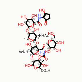 CC(=O)N[C@H]1[C@H](O[C@H]2[C@H](O)[C@@H](NC(C)=O)[C@H](O[C@H]3C(O)O[C@H](C(=O)O)[C@@](C)(O)[C@@H]3OC(N)=O)O[C@@H]2CO[C@@H]2O[C@H](CO)[C@@H](O)[C@H](O)[C@H]2O)O[C@H](C)[C@@H](O[C@@H]2O[C@H](C(=O)NC3=C(O)CCC3=O)[C@H](O)[C@H](O)[C@H]2O)[C@@H]1O